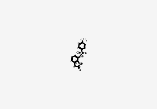 Cc1ccc(S(=O)(=O)Nc2cccc3c2NC(=O)C3)cc1